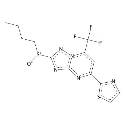 CCCC[S+]([O-])c1nc2nc(-c3nccs3)cc(C(F)(F)F)n2n1